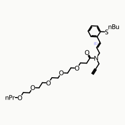 C#CCN(C/C=C/c1ccccc1SCCCC)C(=O)CCOCCOCCOCCOCCOCCC